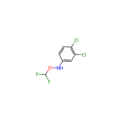 FC(F)ONc1ccc(Cl)c(Cl)c1